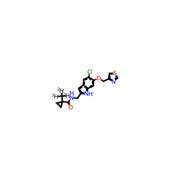 [2H]C([2H])([2H])C1(C(=O)NCc2cc3cc(Cl)c(OCc4cscn4)cc3[nH]2)CC1